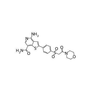 NC(=O)c1cnc(N)c2cc(-c3ccc(S(=O)(=O)CC(=O)N4CCOCC4)cc3)sc12